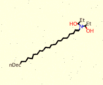 CCCCCCCCCCCCCCCCCCCCCCCCCCCCC=CN(C(O)CC)C(O)CC